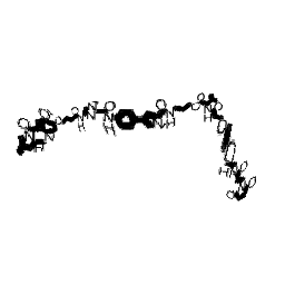 C=C1C[C@H]2C=Nc3cc(OCCCC(=O)Nc4cn(C)c(C(=O)Nc5ccc(-c6cc(C(=O)NCCCOC(=O)[C@H](NC(=O)CCOCCOCCNC(=O)CCN7C(=O)C=CC7=O)C(C)C)n(C)c6)cc5)n4)c(OC)cc3C(=O)N2C1